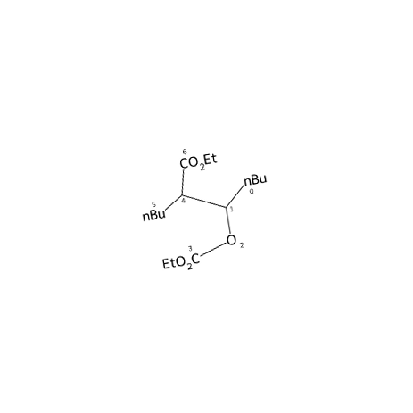 CCCCC(OC(=O)OCC)C(CCCC)C(=O)OCC